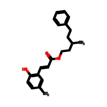 Cc1ccc(O)c(C=CC(=O)OCCC(C)CCc2ccccc2)c1